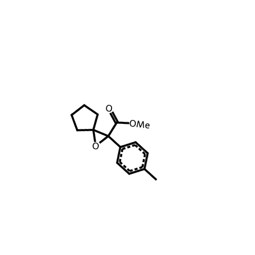 COC(=O)C1(c2ccc(C)cc2)OC12CCCC2